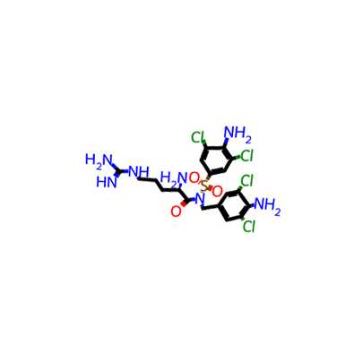 N=C(N)NCCC[C@@H](N)C(=O)N(Cc1cc(Cl)c(N)c(Cl)c1)S(=O)(=O)c1cc(Cl)c(N)c(Cl)c1